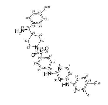 Cc1cc(Nc2ccnc(Nc3ccc(S(=O)(=O)N4CCC([C@@H](N)c5ccc(F)cc5)CC4)cc3)n2)ccc1F